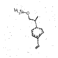 C=Cc1ccc(C(C)CO[SiH3])cc1